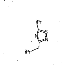 CC(C)Cc1nsc(C(C)C)n1